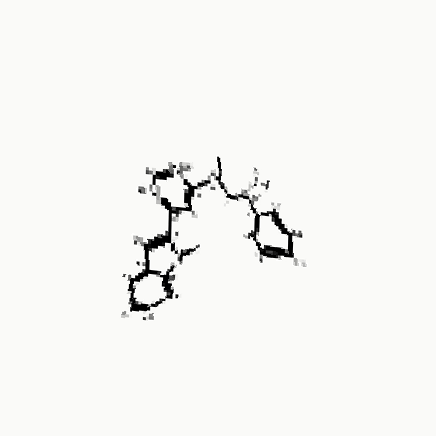 Cn1c(-c2cc(NC[C@H](O)c3ccccc3)ncn2)cc2ccccc21